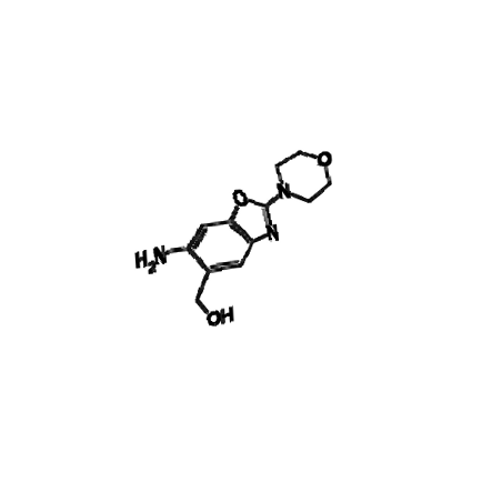 Nc1cc2oc(N3CCOCC3)nc2cc1CO